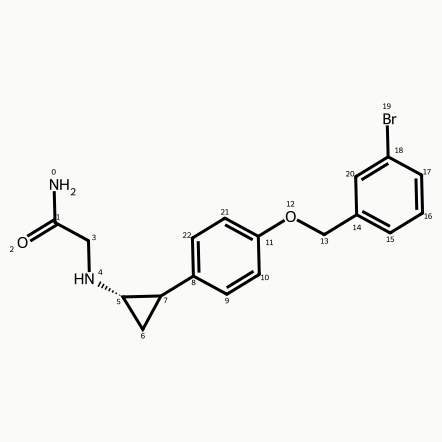 NC(=O)CN[C@H]1CC1c1ccc(OCc2cccc(Br)c2)cc1